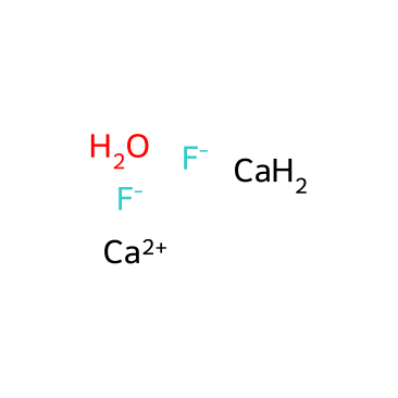 O.[Ca+2].[CaH2].[F-].[F-]